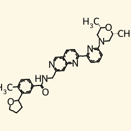 Cc1ccc(C(=O)NCc2cc3nc(-c4cccc(N5C[C@@H](C)O[C@@H](C)C5)n4)ccc3cn2)cc1C1CCCO1